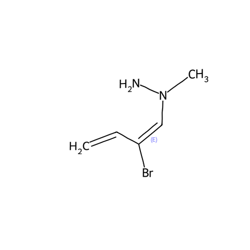 C=C/C(Br)=C\N(C)N